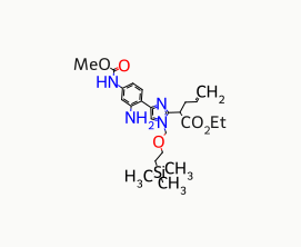 C=CCC(C(=O)OCC)c1nc(-c2ccc(NC(=O)OC)cc2N)cn1COCC[Si](C)(C)C